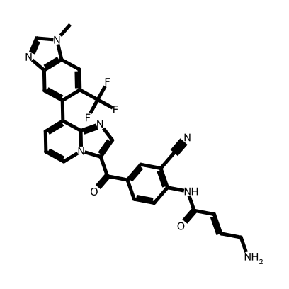 Cn1cnc2cc(-c3cccn4c(C(=O)c5ccc(NC(=O)/C=C/CN)c(C#N)c5)cnc34)c(C(F)(F)F)cc21